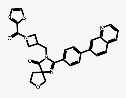 O=C(c1nccs1)N1CC(CN2C(=O)C3(CCOC3)N=C2c2ccc(-c3ccc4cccnc4c3)cc2)C1